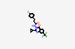 O=C(CCc1ccc(F)cc1)Nn1c(C2CC2)nc2cc(C(F)(F)F)ccc2c1=O